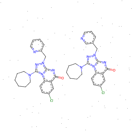 O=c1nc2n(Cc3ccccn3)nc(N3CCCCCC3)n2c2ccc(Cl)cc12.O=c1nc2n(Cc3cccnc3)nc(N3CCCCCC3)n2c2ccc(Cl)cc12